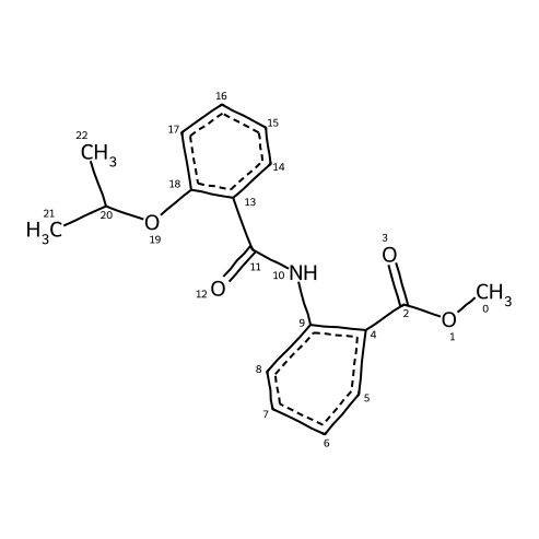 COC(=O)c1ccccc1NC(=O)c1ccccc1OC(C)C